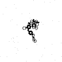 CON=CCOc1ccc(Cc2cc([C@@H]3O[C@H](OC)[C@@H](OC(C)=O)[C@H](OC(C)=O)[C@H]3OC(C)=O)ccc2Cl)cc1